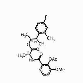 COc1ccnc(C(=O)N[C@@H](C)C(=O)O[C@@H](C)[C@H](C)c2ccc(F)cc2C)c1OC(C)=O